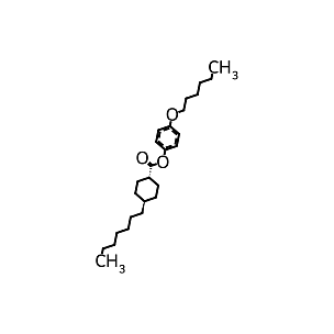 CCCCCCC[C@H]1CC[C@H](C(=O)Oc2ccc(OCCCCCC)cc2)CC1